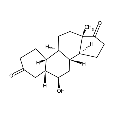 C[C@]12CC[C@@H]3[C@H]4CCC(=O)C[C@H]4[C@H](O)C[C@H]3[C@@H]1CCC2=O